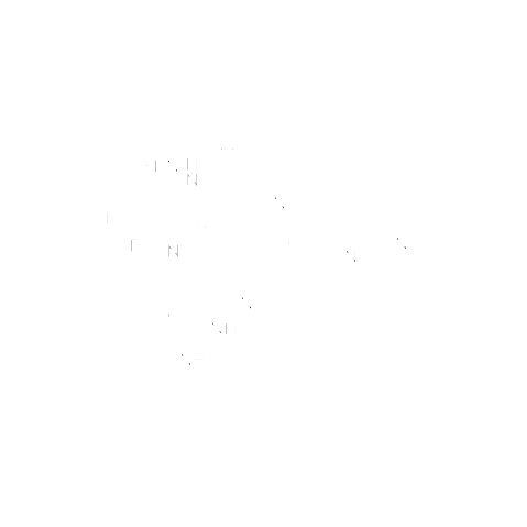 CCNC(=O)Nc1cc(-c2nc(C(F)(F)F)cs2)c(-c2cc(C(=O)NN)cnc2OCCN2CCN(C)CC2)cn1